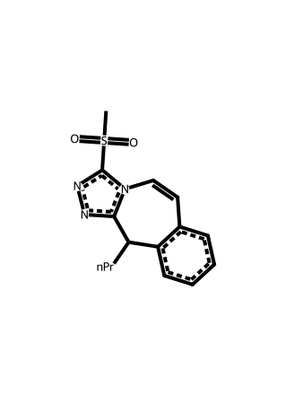 CCCC1c2ccccc2C=Cn2c1nnc2S(C)(=O)=O